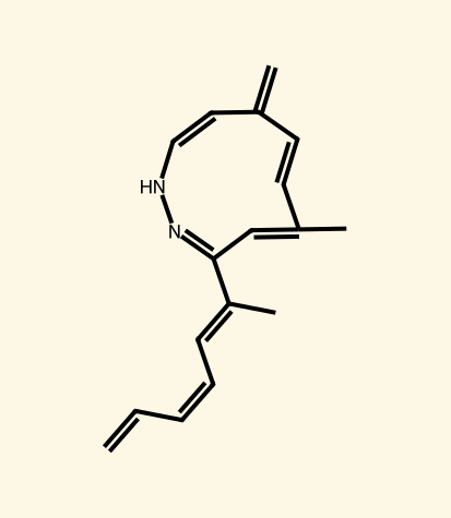 C=C\C=C/C=C(C)/C1=N/N/C=C\C(=C)\C=C\C(C)=C\1